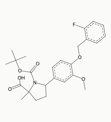 COc1cc(C2CCC(C)(C(=O)O)N2C(=O)OC(C)(C)C)ccc1OCc1ccccc1F